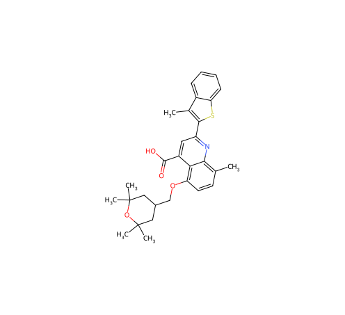 Cc1c(-c2cc(C(=O)O)c3c(OCC4CC(C)(C)OC(C)(C)C4)ccc(C)c3n2)sc2ccccc12